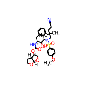 COc1ccc(S(=O)(=O)N(C[C@@H](O)[C@H](Cc2ccccc2)NC(=O)O[C@@H]2CO[C@@H]3OCC[C@@H]32)CC(C)(C)CCC#N)cc1